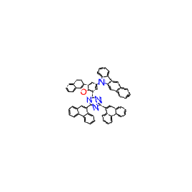 c1ccc2cc3c(cc2c1)c1ccccc1n3-c1cc(-c2nc(-c3cc4ccccc4c4ccccc34)nc(-c3cc4ccccc4c4ccccc34)n2)c2oc3c4ccccc4ccc3c2c1